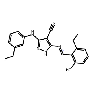 N#Cc1c(Nc2cccc(CI)c2)n[nH]c1/N=C/c1c(O)cccc1CI